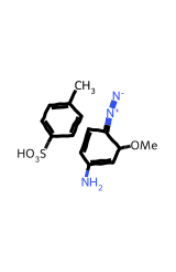 COC1C=C(N)C=CC1=[N+]=[N-].Cc1ccc(S(=O)(=O)O)cc1